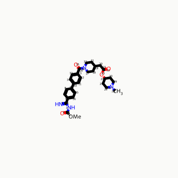 COC(=O)NC(=N)c1ccc(-c2ccc(C(=O)N3CCC(CC(=O)OC4CCN(C)CC4)CC3)cc2)cc1